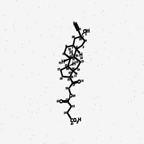 C#C[C@@]1(O)CC[C@H]2C(CC[C@@H]3[C@@H]2CC[C@]2(C)[C@@H](C(=O)COC(=O)CCC(=O)O)CC[C@@H]32)C1